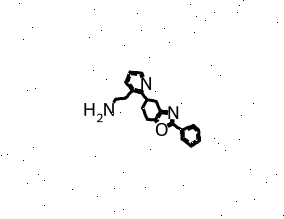 NCCc1cccnc1C1CCc2oc(-c3ccccc3)nc2C1